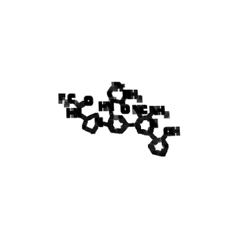 CC(C)C[C@H](Nc1cc(-c2cc(-c3ccccc3O)nc(N)c2C#N)ccc1N1CCC(NC(=O)C(F)(F)F)C1)C(N)=O